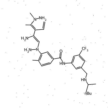 C=CC(/C(N)=C/N(N)c1cc(C(=O)Nc2cc(CNC(C)CCCC)cc(C(F)(F)F)c2)ccc1C)=C(/C)N(C)N